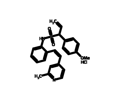 C=CC(c1ccc(OC)cc1)S(=O)(=O)Nc1ccccc1C=Cc1ccnc(C)c1.Cl